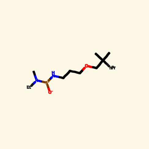 CCCC(C)(C)COCCCN[S+]([O-])N(C)CC